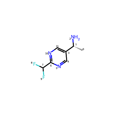 C[C@@H](N)c1cnc(C(F)F)nc1